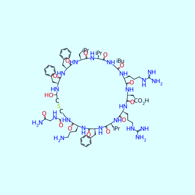 CC[C@H](C)[C@@H]1NC(=O)[C@H](C(C)C)NC(=O)[C@H](CC(C)C)NC(=O)[C@H](Cc2ccccc2)NC(=O)[C@H](Cc2ccccc2)NC(O)CSC[C@@H](C(=O)NCC(N)=O)NC(=O)[C@H](CCCN)NC(=O)[C@H](Cc2ccccc2)NC(=O)[C@H](C(C)C)NC(=O)[C@H](CCCNC(=N)N)NC(=O)[C@H](CC(=O)O)NC(=O)[C@H](CCCNC(=N)N)NC1=O